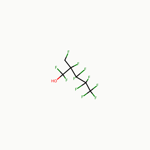 OC(F)(F)C(F)(CF)C(F)(F)C(F)(F)C(F)(F)F